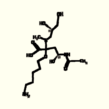 CC(=O)N[C@H](O)CC(OCCCCCN)(C(=O)O)N(C)C[C@H](O)CO